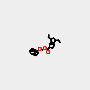 CCC1CC(CC)C2C3CC(CC3C(=O)OCOC3C4CC5CC(C4)CC3C5)C12